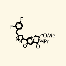 COC[C@H]1Cn2cc(C3=NN=C(Cc4ccc(F)cc4F)C3)c(=O)cc2C(=O)N1C(C)C